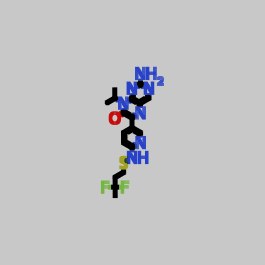 CC(C)n1c(=O)c(-c2ccc(NSCCC(C)(F)F)nc2)nc2cnc(N)nc21